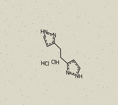 Cl.Cl.c1cc(CCc2cc[nH]n2)n[nH]1